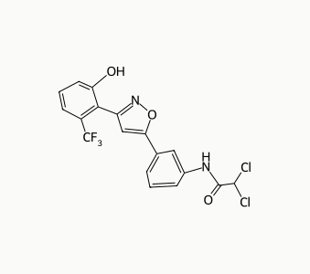 O=C(Nc1cccc(-c2cc(-c3c(O)cccc3C(F)(F)F)no2)c1)C(Cl)Cl